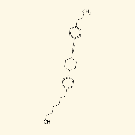 CCCCCCCc1ccc([C@H]2CC[C@H](C#Cc3ccc(CCC)cc3)CC2)cc1